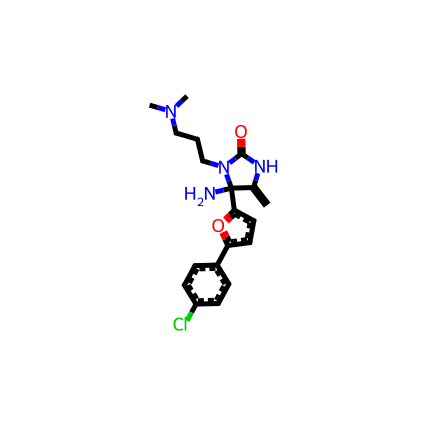 C=C1NC(=O)N(CCCN(C)C)C1(N)c1ccc(-c2ccc(Cl)cc2)o1